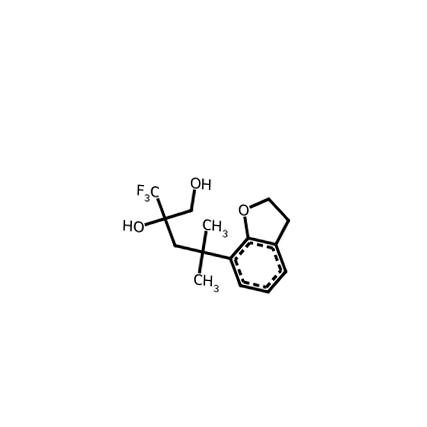 CC(C)(CC(O)(CO)C(F)(F)F)c1cccc2c1OCC2